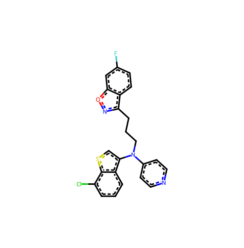 Fc1ccc2c(CCCN(c3ccncc3)c3csc4c(Cl)cccc34)noc2c1